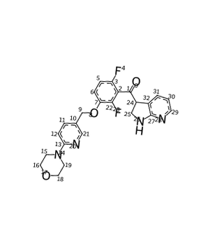 O=C(c1c(F)ccc(OCc2ccc(N3CCOCC3)nc2)c1F)C1CNc2ncccc21